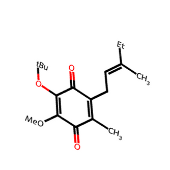 CC/C(C)=C/CC1=C(C)C(=O)C(OC)=C(OC(C)(C)C)C1=O